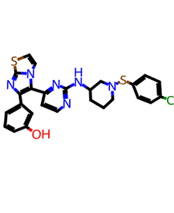 Oc1cccc(-c2nc3sccn3c2-c2ccnc(NC3CCCN(Sc4ccc(Cl)cc4)C3)n2)c1